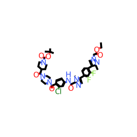 CCOC(=O)Cn1cc(-c2ccc(-c3cnc(C(=O)Nc4ccc(C(=O)N5CCN(C(=O)C6CCN(C(=O)OC(C)(C)C)CC6)CC5)c(Cl)c4)n3C)c(F)c2F)c(C)n1